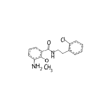 COc1c(N)cccc1C(=O)NCCc1ccccc1Cl